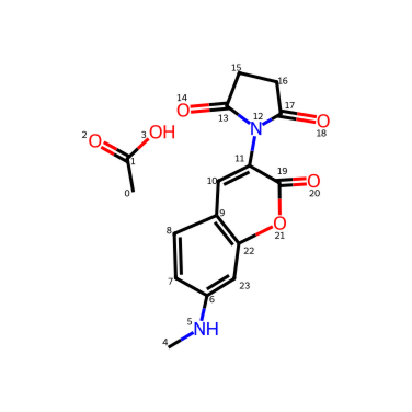 CC(=O)O.CNc1ccc2cc(N3C(=O)CCC3=O)c(=O)oc2c1